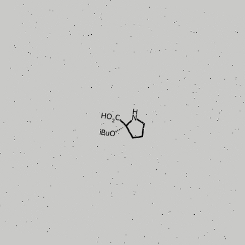 CC(C)CO[C@@]1(C(=O)O)CCCN1